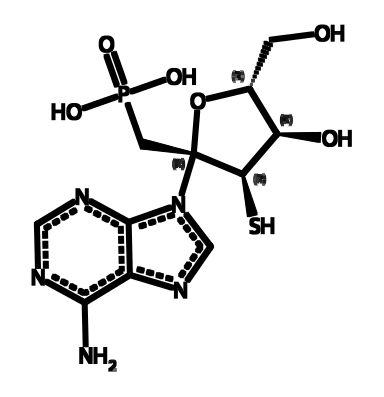 Nc1ncnc2c1ncn2[C@]1(CP(=O)(O)O)O[C@H](CO)[C@@H](O)[C@H]1S